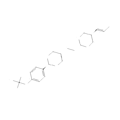 C/C=C/[C@H]1CO[C@H](CC[C@H]2CO[C@H](c3ccc(OC(F)(F)F)cc3)OC2)OC1